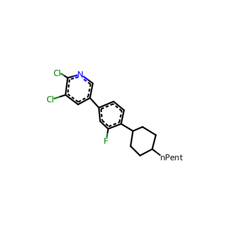 CCCCCC1CCC(c2ccc(-c3cnc(Cl)c(Cl)c3)cc2F)CC1